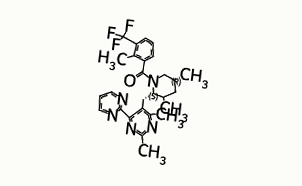 Cc1nc(C)c(C[C@H]2C(C)C[C@@H](C)CN2C(=O)c2cccc(C(F)(F)F)c2C)c(-c2ncccn2)n1